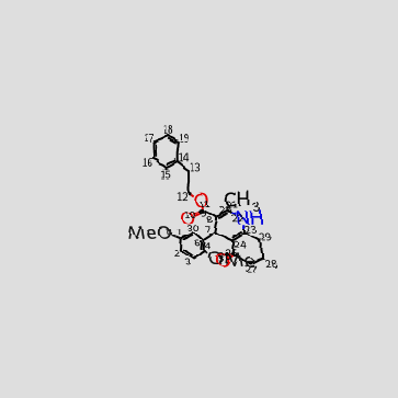 COc1ccc(OC)c(C2C(C(=O)OCCc3ccccc3)=C(C)NC3=C2C(=O)CCC3)c1